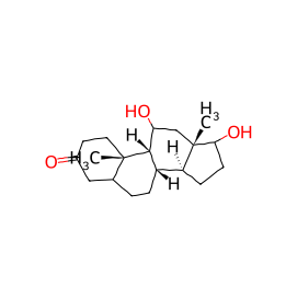 C[C@]12CCC(=O)CC1CC[C@@H]1[C@H]2C(O)C[C@]2(C)C(O)CC[C@@H]12